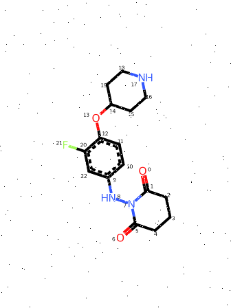 O=C1CCCC(=O)N1Nc1ccc(OC2CCNCC2)c(F)c1